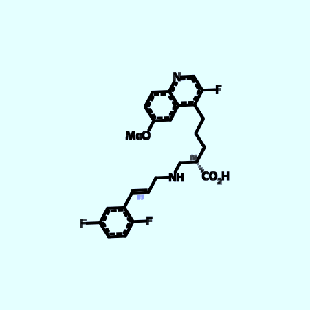 COc1ccc2ncc(F)c(CCC[C@@H](CNC/C=C/c3cc(F)ccc3F)C(=O)O)c2c1